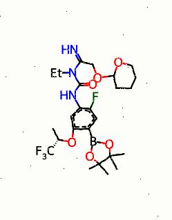 CCN(C(=N)COC1CCCCO1)C(=O)Nc1cc(O[C@@H](C)C(F)(F)F)c(B2OC(C)(C)C(C)(C)O2)cc1F